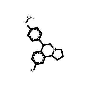 COc1ccc(C2CN3CCCC3c3cc(Br)ccc32)cc1